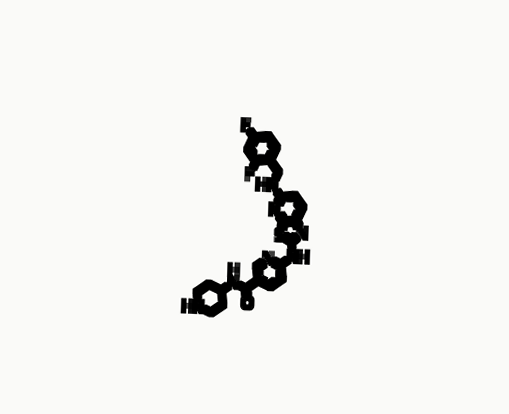 O=C(NC1CCNCC1)c1ccc(Nc2nc3ccc(NCc4ccc(F)cc4F)nc3s2)nc1